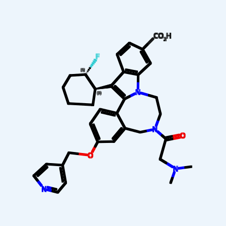 CN(C)CC(=O)N1CCn2c(c([C@H]3CCCC[C@@H]3F)c3ccc(C(=O)O)cc32)-c2ccc(OCc3ccncc3)cc2C1